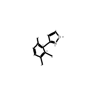 Cc1ccc(C)c(-c2ccon2)c1C